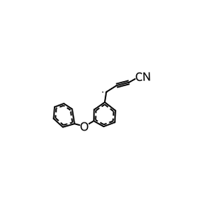 N#CC#C[CH]c1cccc(Oc2ccccc2)c1